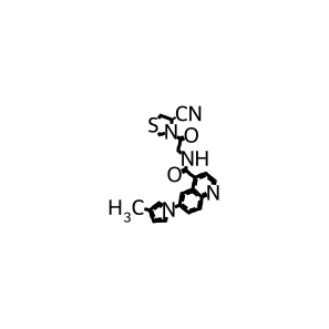 Cc1ccn(-c2ccc3nccc(C(=O)NCC(=O)N4CSC[C@H]4C#N)c3c2)c1